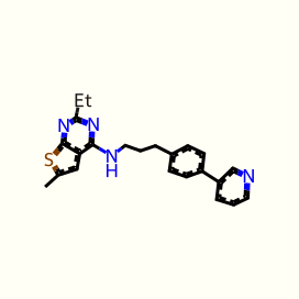 CCc1nc(NCCCc2ccc(-c3cccnc3)cc2)c2cc(C)sc2n1